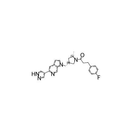 C[C@H]1C[C@@H](Cn2ccc3cc(-c4cn[nH]c4)ncc32)CN1C(=O)CCc1ccc(F)cc1